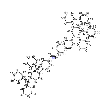 C1=CCC(c2c(-c3ccc4cc(/C=C/c5ccc6c(c5)C5(CCCCC5)c5cc(N(C7=CCCC=C7)c7ccccc7)ccc5-6)ccc4c3)cc(-c3ccccc3)c3c4ccccc4c4ccccc4c23)C=C1